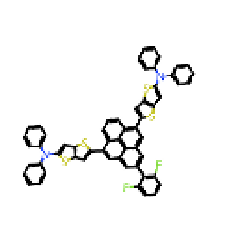 Fc1cccc(F)c1-c1cc2cc(-c3cc4sc(N(c5ccccc5)c5ccccc5)cc4s3)c3cccc4c(-c5cc6sc(N(c7ccccc7)c7ccccc7)cc6s5)cc(c1)c2c34